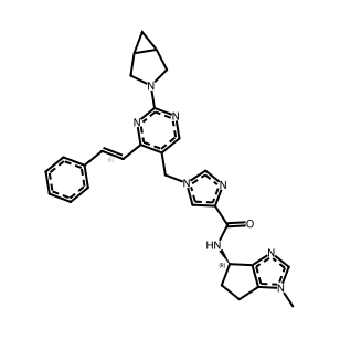 Cn1cnc2c1CC[C@H]2NC(=O)c1cn(Cc2cnc(N3CC4CC4C3)nc2/C=C/c2ccccc2)cn1